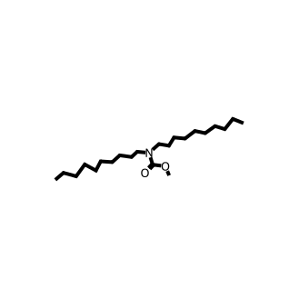 CCCCCCCCCCN(CCCCCCCCCC)C(=O)OC